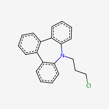 ClCCCN1c2ccccc2-c2ccccc2-c2ccccc21